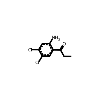 CCC(=O)c1cc(Cl)c(Cl)cc1N